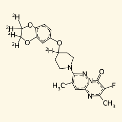 [2H]C1(Oc2ccc3c(c2)OC([2H])([2H])C([2H])([2H])O3)CCN(c2nn3c(=O)c(F)c(C)nc3cc2C)CC1